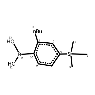 CCCCc1cc([Si](C)(C)C)ccc1B(O)O